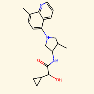 Cc1ccc(N2CC(C)C(NC(=O)C(O)C3CC3)C2)c2cccnc12